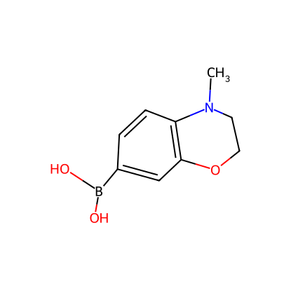 CN1CCOc2cc(B(O)O)ccc21